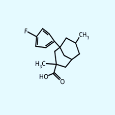 CC1CC2CC(C)(C(=O)O)CC(c3ccc(F)cc3)(C1)C2